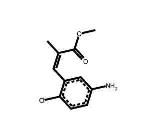 COC(=O)C(C)=Cc1cc(N)ccc1Cl